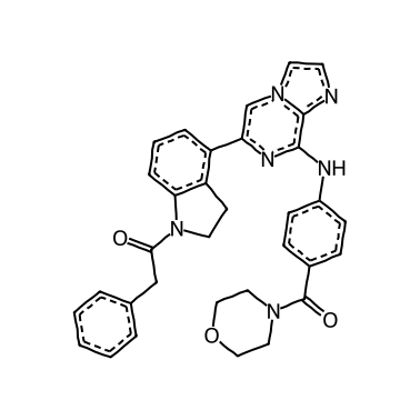 O=C(c1ccc(Nc2nc(-c3cccc4c3CCN4C(=O)Cc3ccccc3)cn3ccnc23)cc1)N1CCOCC1